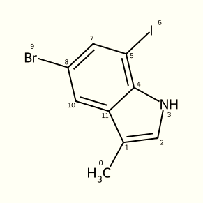 Cc1c[nH]c2c(I)cc(Br)cc12